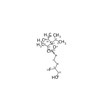 CC(C)[Si](OCCCCC(F)CO)(C(C)C)C(C)C